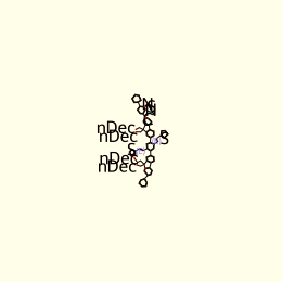 CCCCCCCCCCCCC1(CCCCCCCCCCCC)c2cc(-c3ccccc3)ccc2-c2ccc(-c3cc(/C=C/c4cccs4)c(-c4ccc5c(c4)C(CCCCCCCCCCCC)(CCCCCCCCCCCC)c4cc(-c6ccc(-c7ccccc7)c7nsnc67)ccc4-5)cc3/C=C/c3cccs3)cc21